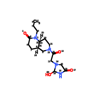 CCCN1C(=O)CC[C@@H]2CN(C(=O)CN3CC(=O)NC3O)CC[C@@H]21